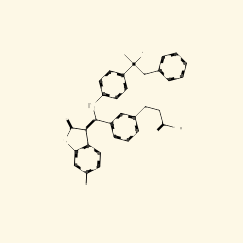 CC(N)(Cc1ccccc1)c1ccc(N/C(=C2\C(=O)Nc3cc(Cl)ccc32)c2cccc(CCC(=O)O)c2)cc1